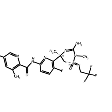 Cc1cc(C#N)cnc1C(=O)Nc1ccc(F)c([C@]2(C)C[S@@](=O)(=NCC(F)(F)F)N(C)C(N)=N2)n1